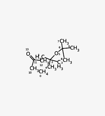 C.CC(C)(C)OC(C)(C)C.CC(C)=O